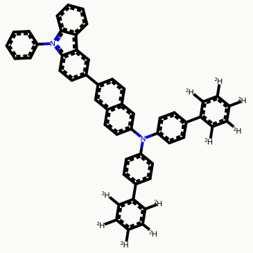 [2H]c1c([2H])c([2H])c(-c2ccc(N(c3ccc(-c4c([2H])c([2H])c([2H])c([2H])c4[2H])cc3)c3ccc4cc(-c5ccc6c(c5)c5ccccc5n6-c5ccccc5)ccc4c3)cc2)c([2H])c1[2H]